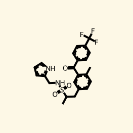 Cc1ccc(CC(C)S(=O)(=O)NCc2ccc[nH]2)cc1C(=O)c1ccc(C(F)(F)F)cc1